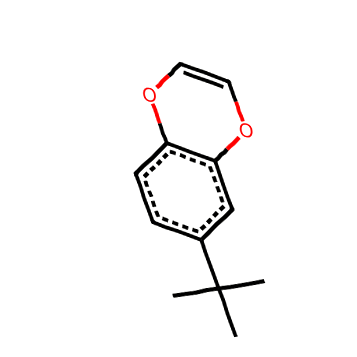 CC(C)(C)c1ccc2c(c1)OC=CO2